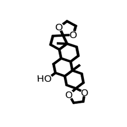 CC12CCC3(CC1C(O)CC1C2CCC2(C)C1CCC21OCCO1)OCCO3